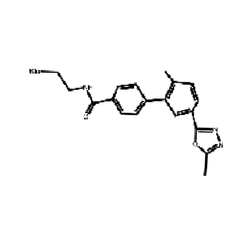 Cc1nnc(-c2ccc(C)c(-c3ccc(C(=O)NCCC(C)(C)C)cc3)c2)o1